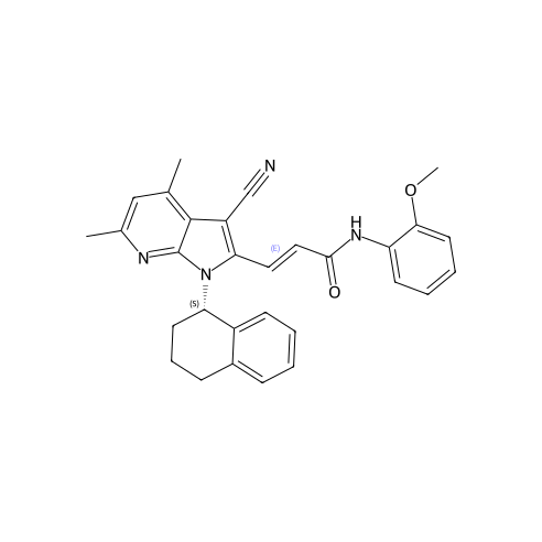 COc1ccccc1NC(=O)/C=C/c1c(C#N)c2c(C)cc(C)nc2n1[C@H]1CCCc2ccccc21